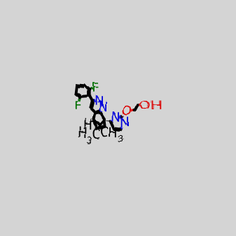 CC1(C)[C@H]2CC[C@]1(c1ccnc(OCCO)n1)c1nnc(-c3c(F)cccc3F)cc12